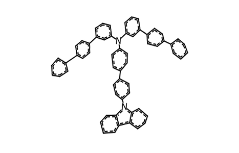 c1ccc(-c2ccc(-c3cccc(N(c4ccc(-c5ccc(-n6c7ccccc7c7ccccc76)cc5)cc4)c4cccc(-c5ccc(-c6ccccc6)cc5)c4)c3)cc2)cc1